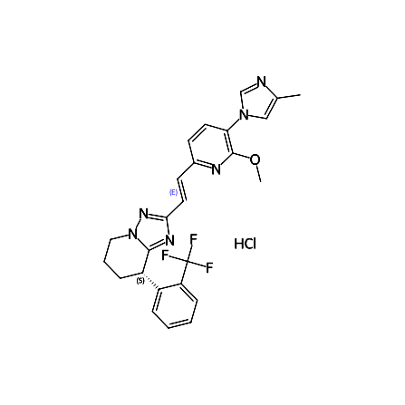 COc1nc(/C=C/c2nc3n(n2)CCC[C@H]3c2ccccc2C(F)(F)F)ccc1-n1cnc(C)c1.Cl